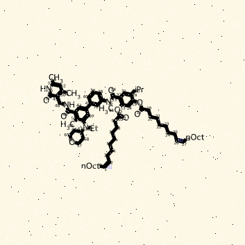 CCCCCCCC/C=C\CCCCCCCC(=O)Oc1cc(OC(=O)CCCCCCC/C=C\CCCCCCCC)c(C(C)C)cc1C(=O)N(C)c1cccc(-c2cc(C(=O)NCc3c(C)cc(C)[nH]c3=O)c(C)c(N(CC)C3CCOCC3)c2)c1